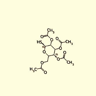 CC(=O)OCC1O[C@@H](S)C(OC(C)=O)C(OC(C)=O)[C@H]1OC(C)=O